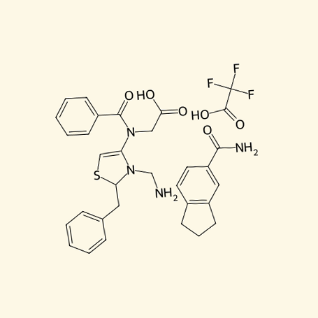 NC(=O)c1ccc2c(c1)CCC2.NCN1C(N(CC(=O)O)C(=O)c2ccccc2)=CSC1Cc1ccccc1.O=C(O)C(F)(F)F